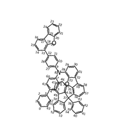 c1ccc(-c2ccc(N(c3ccc(-c4cccc5c4oc4ccccc45)cc3)c3cccc4c3oc3c(C5(c6ccccc6)c6ccccc6-c6ccccc65)cccc34)cc2)cc1